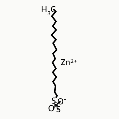 CCCCCCCCCCCCCCCCCCCCSP([O-])([O-])=S.[Zn+2]